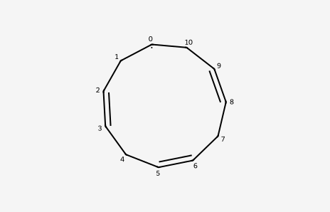 [CH]1CC=CCC=CCC=CC1